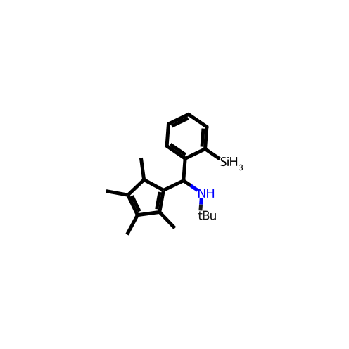 CC1=C(C)C(C)C(C(NC(C)(C)C)c2ccccc2[SiH3])=C1C